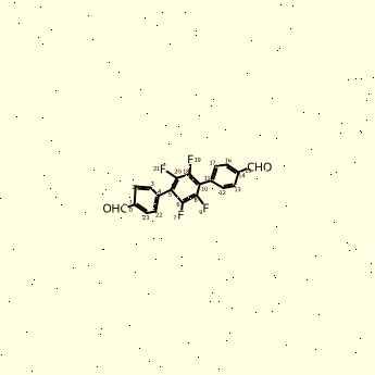 O=Cc1ccc(-c2c(F)c(F)c(-c3ccc(C=O)cc3)c(F)c2F)cc1